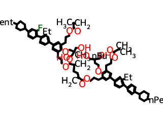 C=C(C)C(=O)OCCCc1cc(-c2ccc(-c3ccc(C4CCC(CCCCC)CC4)cc3)c(CC)c2)cc(CCCOC(=O)C(=C)CCC(=C)C(=O)OCCCc2cc(-c3ccc(-c4ccc(C5CCC(CCCCC)CC5)cc4F)c(CC)c3)cc(CCCOC(=O)C(=C)C)c2OCC(C)(CO)CO)c1OCCC(CO)(CO)CCCC